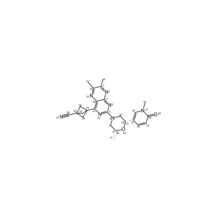 Cc1nc2nc(N3C[C@@H](C)O[C@@H](c4ccc(=O)n(C)c4)C3)nc(C34CC(C#N)(C3)C4)c2nc1C